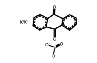 O=C1c2ccccc2C(=O)c2ccccc21.O=S([O-])[O-].[K+].[K+]